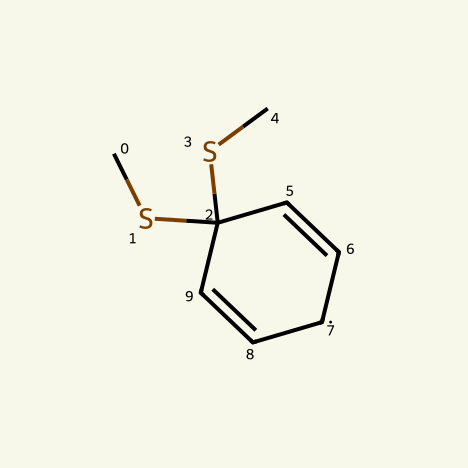 CSC1(SC)C=C[CH]C=C1